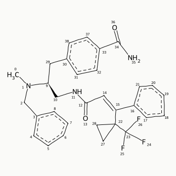 CN(Cc1ccccc1)[C@H](CNC(=O)/C=C(/c1ccccc1)C1(C(F)(F)F)CC1)Cc1ccc(C(N)=O)cc1